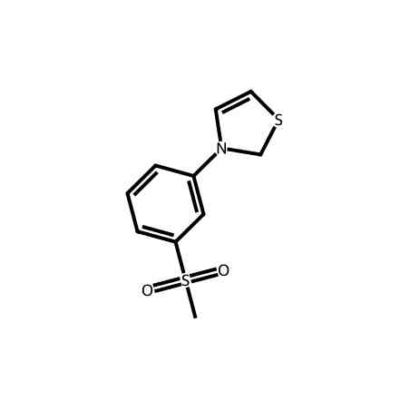 CS(=O)(=O)c1cccc(N2C=CSC2)c1